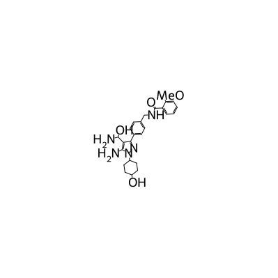 COc1ccccc1C(=O)NCc1ccc(-c2nn(C3CCC(O)CC3)c(N)c2C(N)O)cc1